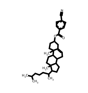 CC(C)CCCC(C)C1CCC2C3CC=C4CC(OC(=O)c5ccc(C#N)cc5)CCC4(C)C3CCC12C